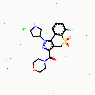 Cl.O=C(c1nn(C2CCNC2)c2c1CS(=O)(=O)c1c(F)cccc1-2)N1CCOCC1